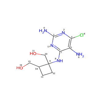 Nc1nc(Cl)c(N)c(NC2(CO)CCC2CO)n1